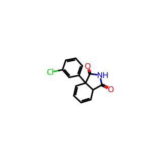 O=C1NC(=O)C2(c3cccc(Cl)c3)C=CC=CC12